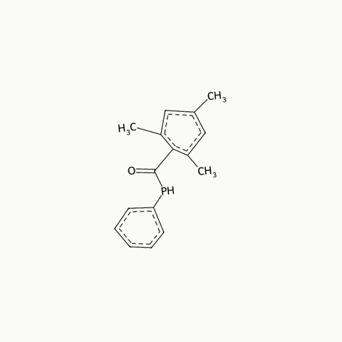 Cc1cc(C)c(C(=O)Pc2ccccc2)c(C)c1